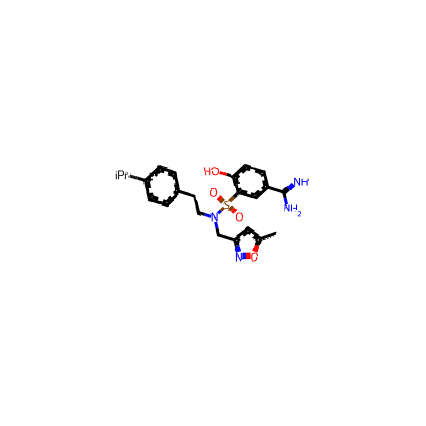 Cc1cc(CN(CCc2ccc(C(C)C)cc2)S(=O)(=O)c2cc(C(=N)N)ccc2O)no1